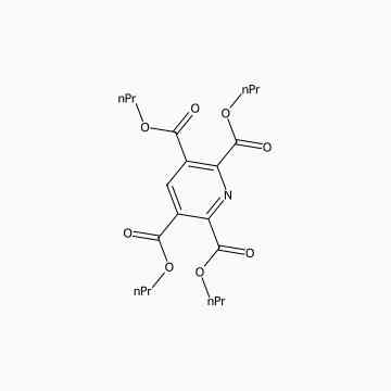 CCCOC(=O)c1cc(C(=O)OCCC)c(C(=O)OCCC)nc1C(=O)OCCC